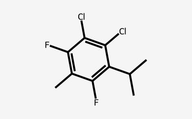 Cc1c(F)c(Cl)c(Cl)c(C(C)C)c1F